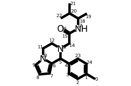 Cc1ccc(C2c3cccn3CCN2CC(=O)NC(C)C(C)C)cc1